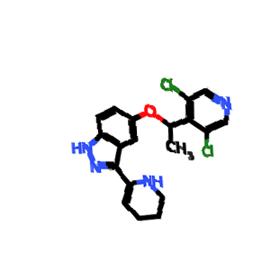 CC(Oc1ccc2[nH]nc(C3=CCCCN3)c2c1)c1c(Cl)cncc1Cl